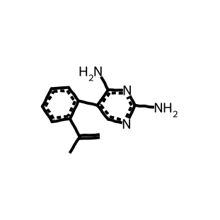 C=C(C)c1ccccc1-c1cnc(N)nc1N